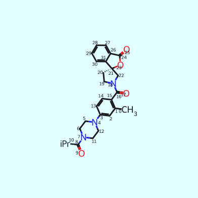 Cc1cc(N2CCN(C(=O)C(C)C)CC2)ccc1C(=O)N1CC[C@@]2(C1)OC(=O)c1ccccc12